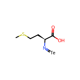 CSCC[C@H](N=[Te])C(=O)O